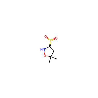 CC1(C)CC(=S(=O)=O)NO1